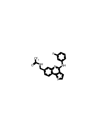 O=C(NCc1ccc2c(c1)nc(Nc1cccc(F)c1)c1ccsc12)C(F)(F)F